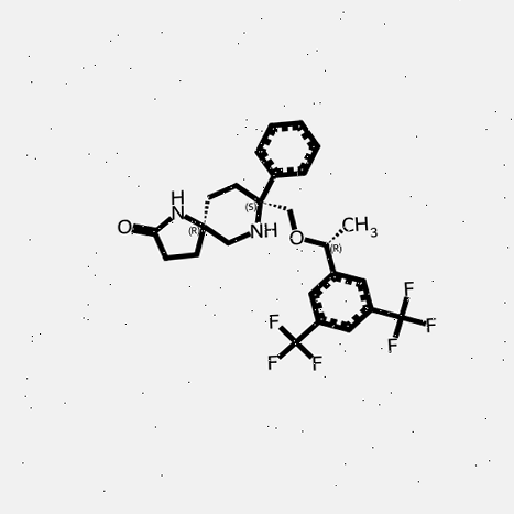 C[C@@H](OC[C@@]1(c2ccccc2)CC[C@@]2(CCC(=O)N2)CN1)c1cc(C(F)(F)F)cc(C(F)(F)F)c1